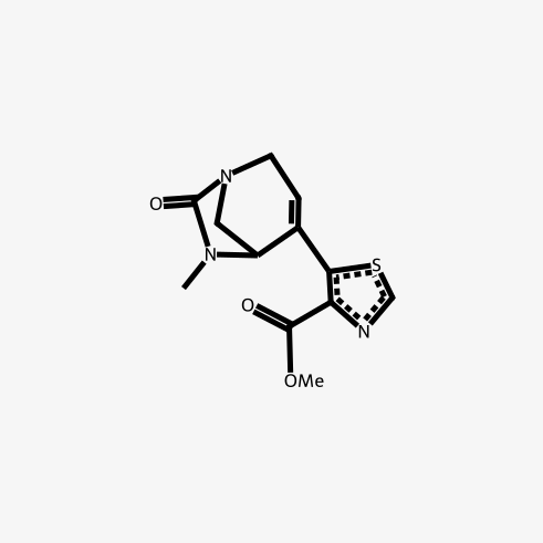 COC(=O)c1ncsc1C1=CCN2CC1N(C)C2=O